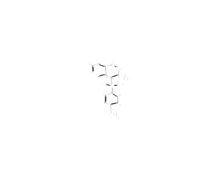 Cc1ccc(S(=O)(=O)c2c(C)nnc3ccccc23)cc1